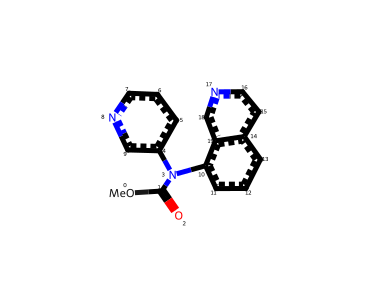 COC(=O)N(c1cccnc1)c1cccc2ccncc12